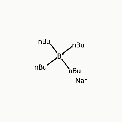 CCCC[B-](CCCC)(CCCC)CCCC.[Na+]